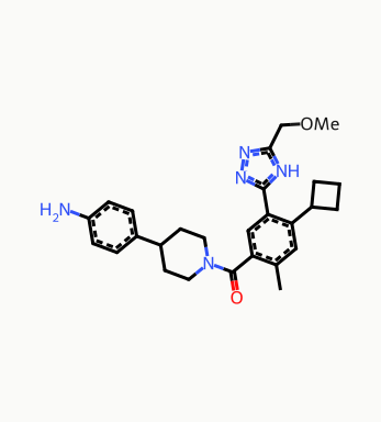 COCc1nnc(-c2cc(C(=O)N3CCC(c4ccc(N)cc4)CC3)c(C)cc2C2CCC2)[nH]1